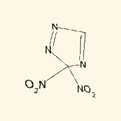 O=[N+]([O-])C1([N+](=O)[O-])N=CN=N1